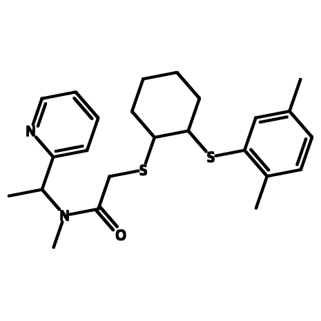 Cc1ccc(C)c(SC2CCCCC2SCC(=O)N(C)C(C)c2ccccn2)c1